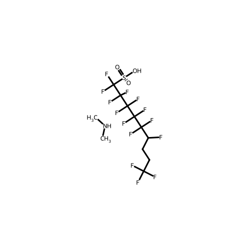 CNC.O=S(=O)(O)C(F)(F)C(F)(F)C(F)(F)C(F)(F)C(F)(F)C(F)CCC(F)(F)F